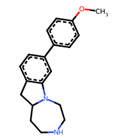 COc1ccc(-c2ccc3c(c2)N2CCNCCC2C3)cc1